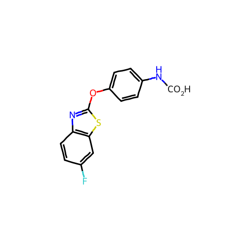 O=C(O)Nc1ccc(Oc2nc3ccc(F)cc3s2)cc1